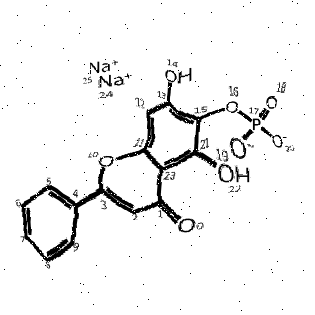 O=c1cc(-c2ccccc2)oc2cc(O)c(OP(=O)([O-])[O-])c(O)c12.[Na+].[Na+]